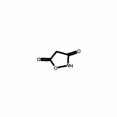 O=C1[CH]C(=O)ON1